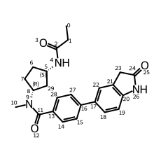 CCC(=O)N[C@H]1CC[C@@H](N(C)C(=O)c2ccc(-c3ccc4c(c3)CC(=O)N4)cc2)C1